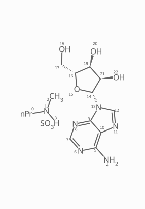 CCCN(C)S(=O)(=O)O.Nc1ncnc2c1ncn2[C@@H]1O[C@H](CO)[C@@H](O)[C@H]1O